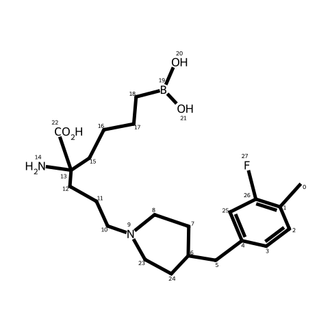 Cc1ccc(CC2CCN(CCCC(N)(CCCCB(O)O)C(=O)O)CC2)cc1F